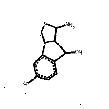 NC1SCC2c3cc(Cl)ccc3C(O)C12